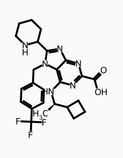 C[C@@H](Nc1nc(C(=O)O)nc2nc(C3CCCCN3)n(Cc3ccc(C(F)(F)F)cc3)c12)C1CCC1